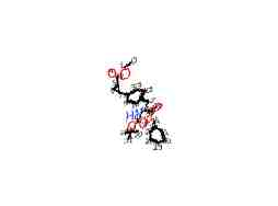 CCOC(=O)C1CC1c1ccc(C[C@H](NC(=O)OC(C)(C)C)C(=O)OCc2ccccc2)cc1